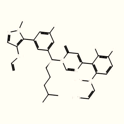 CC(C)CCC[C@@H](c1cc(F)cc(-c2c(NC=O)cnn2C)c1)n1cnc(-c2c(N(N)/C=C\N)ccc(Cl)c2F)cc1=O